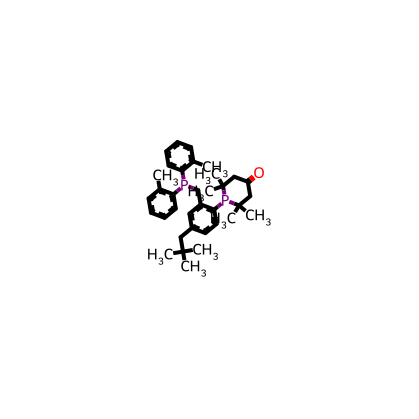 Cc1ccccc1P(Cc1cc(CC(C)(C)C)ccc1P1C(C)(C)CC(=O)CC1(C)C)c1ccccc1C